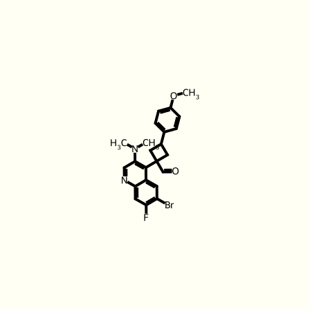 COc1ccc(C2CC(C=O)(c3c(N(C)C)cnc4cc(F)c(Br)cc34)C2)cc1